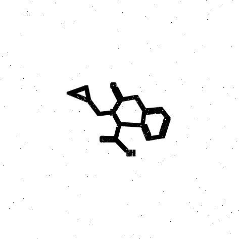 O=C(S)C1c2ccccc2CC(=O)N1CC1CC1